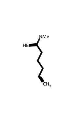 B=C(CCCC=C)NC